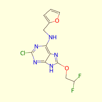 FC(F)COc1nc2c(NCc3ccco3)nc(Cl)nc2[nH]1